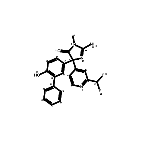 CN1C(=O)C(c2ccnc(C(F)F)c2)(c2ccc(O)c(-c3ccccc3)c2)N=C1N